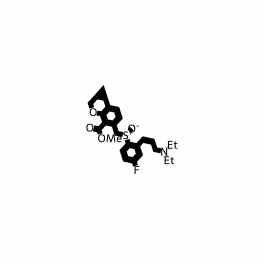 CCN(CC)C/C=C\c1cc(F)ccc1[S+]([O-])Cc1ccc2c(c1C(=O)OC)OCC1CC21